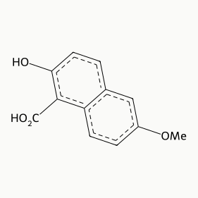 COc1ccc2c(C(=O)O)c(O)ccc2c1